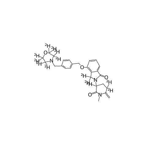 [2H]C1([2H])CC([2H])(N2C(=O)c3cccc(OCc4ccc(CN5C([2H])([2H])C([2H])([2H])OC([2H])([2H])C5([2H])[2H])cc4)c3C2([2H])[2H])C(=O)N(C)C1=C